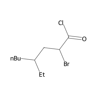 CCCCC(CC)CC(Br)C(=O)Cl